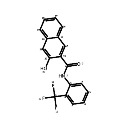 O=C(Nc1ccccc1C(F)(F)F)c1cc2ccccc2cc1O